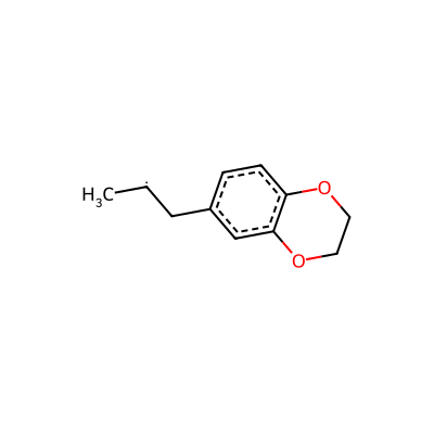 C[CH]Cc1ccc2c(c1)OCCO2